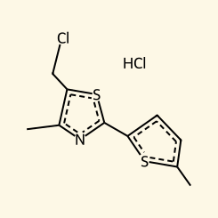 Cc1ccc(-c2nc(C)c(CCl)s2)s1.Cl